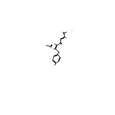 COC(=O)/C(O)=C/C(=O)c1nc(C)oc1Cc1ccc(F)cc1